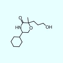 CC1(CCCO)OCC(C2CCCCC2)NC1=O